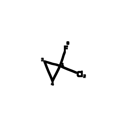 FC1(Cl)CC1